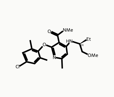 CC[C@@H](COC)Nc1cc(C)nc(Oc2c(C)cc(Cl)cc2C)c1C(=O)NC